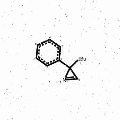 CC(C)(C)C1(c2ccccc2)C=N1